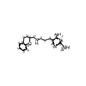 CNc1ncc(CCCNCC2CCc3ccccc3O2)c(N)n1